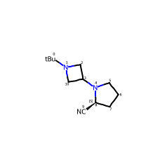 CC(C)(C)N1CC(N2CCC[C@H]2C#N)C1